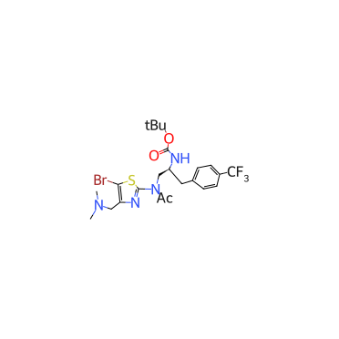 CC(=O)N(C[C@H](Cc1ccc(C(F)(F)F)cc1)NC(=O)OC(C)(C)C)c1nc(CN(C)C)c(Br)s1